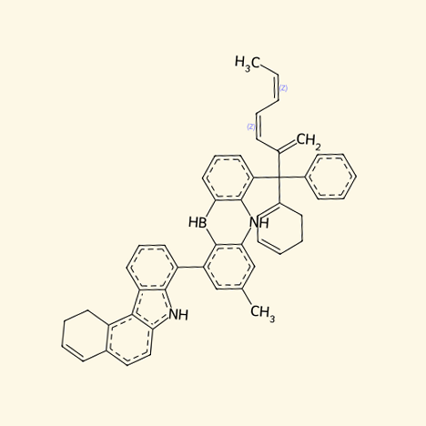 C=C(/C=C\C=C/C)C(C1=CC=CCC1)(c1ccccc1)c1cccc2c1Nc1cc(C)cc(-c3cccc4c3[nH]c3ccc5c(c34)CCC=C5)c1B2